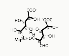 O=C[C@H](O)[C@@H](O)[C@H](O)[C@H](O)C(=O)[O-].O=C[C@H](O)[C@@H](O)[C@H](O)[C@H](O)C(=O)[O-].[Mg+2]